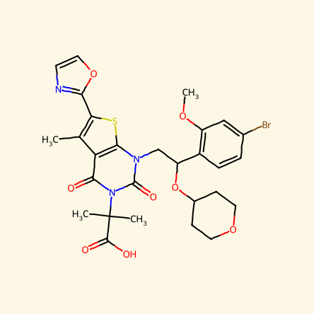 COc1cc(Br)ccc1C(Cn1c(=O)n(C(C)(C)C(=O)O)c(=O)c2c(C)c(-c3ncco3)sc21)OC1CCOCC1